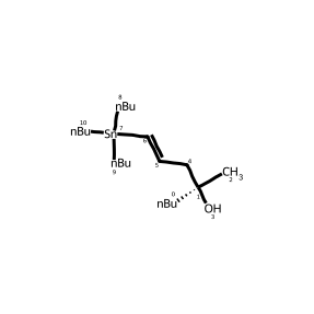 CCCC[C@](C)(O)C/C=[CH]/[Sn]([CH2]CCC)([CH2]CCC)[CH2]CCC